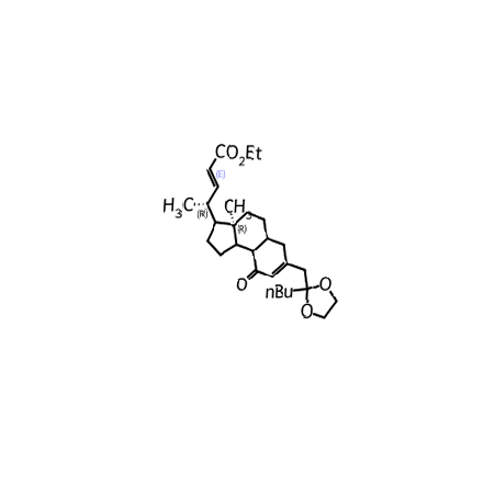 CCCCC1(CC2=CC(=O)C3C(CC[C@@]4(C)C3CCC4[C@H](C)/C=C/C(=O)OCC)C2)OCCO1